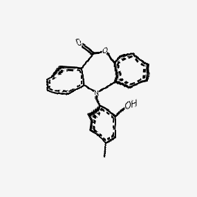 Cc1ccc(N2c3ccccc3OC(=O)c3ccccc32)c(O)c1